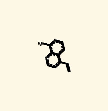 C=Cc1ccnc2c(N)nccc12